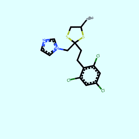 CCCCC1CSC(CCc2c(Cl)cc(Cl)cc2Cl)(Cn2ccnc2)S1